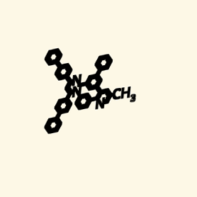 Cc1cnc(-c2ccccc2)c(-c2cc(-c3ccccc3)cc(-c3nc(-c4ccc(-c5ccccc5)cc4)cc(-c4ccc(-c5ccccc5)cc4)n3)c2)c1